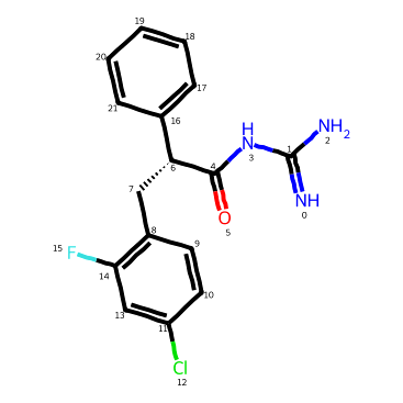 N=C(N)NC(=O)[C@H](Cc1ccc(Cl)cc1F)c1ccccc1